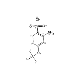 CC(C)(C)Oc1ccc(S(=O)(=O)O)c(N)c1